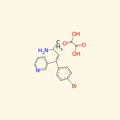 CC(N)/C=C(/c1ccc(Br)cc1)c1cccnc1.O=C(O)C(=O)O